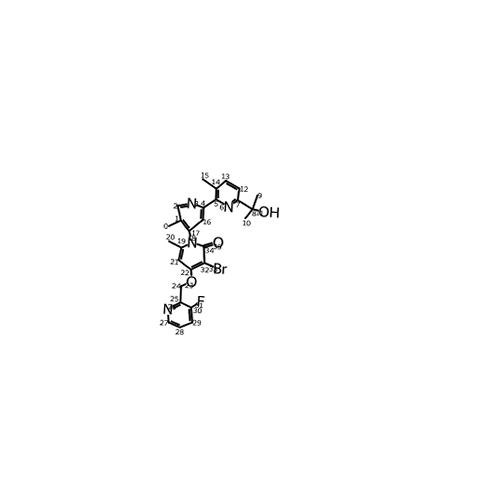 Cc1cnc(-c2nc(C(C)(C)O)ccc2C)cc1-n1c(C)cc(OCc2ncccc2F)c(Br)c1=O